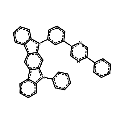 c1ccc(-c2cnc(-c3cccc(-n4c5ccccc5c5cc6c7ccccc7n(-c7ccccc7)c6cc54)c3)cn2)cc1